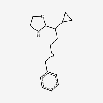 c1ccc(COCCC(C2CC2)C2NCCO2)cc1